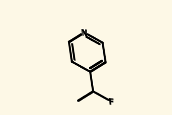 CC(F)c1ccncc1